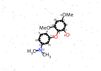 COc1cc([O])c(Oc2cccc(N(C)C)c2)c(OC)c1